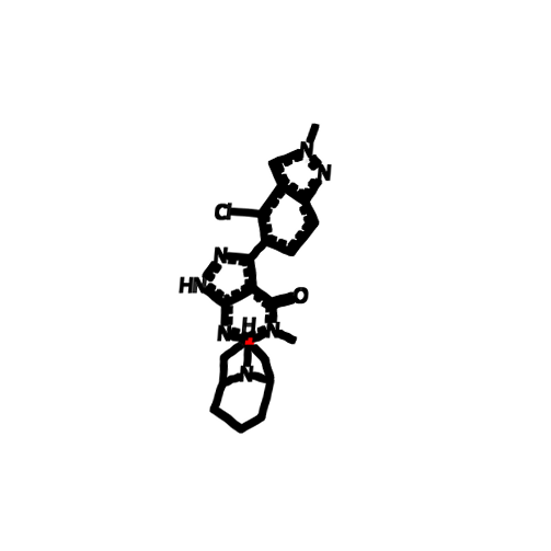 Cn1cc2c(Cl)c(-c3n[nH]c4nc(N5C6CCCC5CNC6)n(C)c(=O)c34)ccc2n1